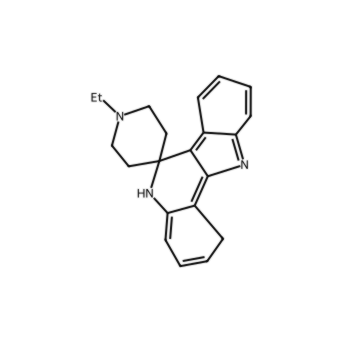 CCN1CCC2(CC1)NC1=CC=CCC1=C1N=c3ccccc3=C12